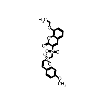 CCOc1cccc2cc(S(=O)(=O)CS(=O)(=O)/C=C\c3ccc(OC)cc3)c(=O)oc12